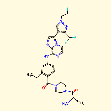 CCc1cc(Nc2nccn3c(-c4cn(CCF)nc4C(F)F)cnc23)ccc1C(=O)N1CCN(C(=O)[C@@H](C)N)CC1